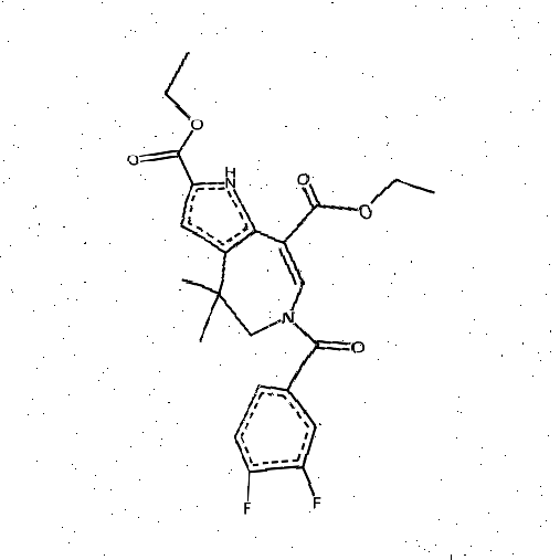 CCOC(=O)C1=CN(C(=O)c2ccc(F)c(F)c2)CC(C)(C)c2cc(C(=O)OCC)[nH]c21